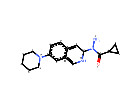 NN(C(=O)C1CC1)C1C=c2ccc(N3CCCCC3)cc2=CN1